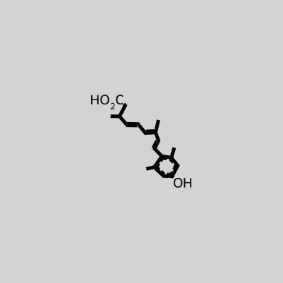 CC(C=Cc1c(C)cc(O)cc1C)=CC=CC(C)CC(=O)O